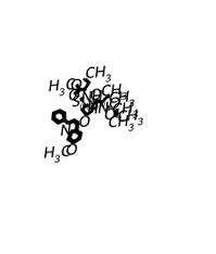 CCCC(NC(=S)[C@@H]1CC(Oc2cc(-c3ccccc3)nc3cc(OC)ccc23)CN1C(=O)[C@@H](NC(=O)OC(C)(C)C)C(C)C)C(=O)OC